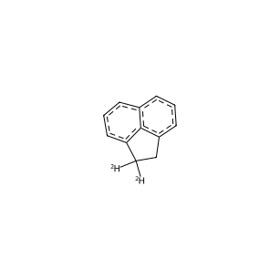 [2H]C1([2H])Cc2cccc3cccc1c23